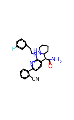 N#Cc1ccccc1-c1ccc(C(C(N)=O)C2CCCCN2)c(NCCc2cccc(F)c2)n1